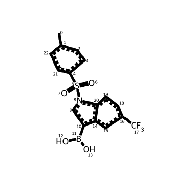 Cc1ccc(S(=O)(=O)n2cc(B(O)O)c3cc(C(F)(F)F)ccc32)cc1